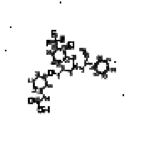 C#CC(CN(CCCOc1cccc(CC(=O)O)c1)Cc1cccc(C(F)(F)F)c1Cl)c1ccccc1